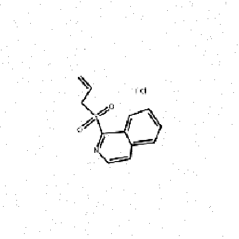 C=CCS(=O)(=O)c1nccc2ccccc12.Cl